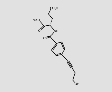 COC(=O)[C@H](CCC(=O)O)NC(=O)c1ccc(C#CCCO)cc1